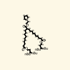 CCCCC(CCCC)CCOC(=O)CCCCCCCCCC(CCCCCCCCCC(=O)OCCC(CCCC)CCCC)C(=O)OCCN1CCCC1